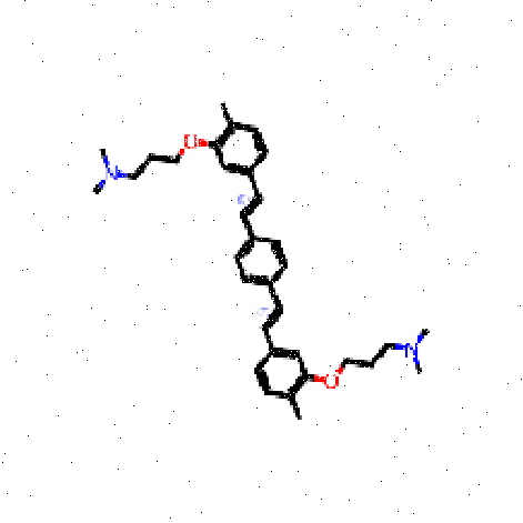 Cc1ccc(/C=C/c2ccc(/C=C/c3ccc(C)c(OCCCN(C)C)c3)cc2)cc1OCCCN(C)C